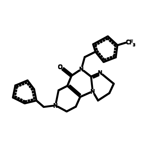 O=C1C2=C(CCN(Cc3ccccc3)C2)N2CCCN=C2N1Cc1ccc(C(F)(F)F)cc1